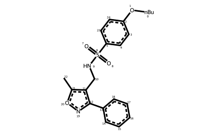 CCCCOc1ccc(S(=O)(=O)NCc2c(-c3ccccc3)noc2C)cc1